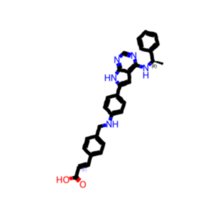 C[C@@H](Nc1ncnc2[nH]c(-c3ccc(NCc4ccc(/C=C/C(=O)O)cc4)cc3)cc12)c1ccccc1